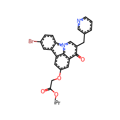 CC(C)OC(=O)COc1cc2c(=O)c(Cc3cccnc3)cn3c4ccc(Br)cc4c(c1)c23